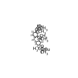 CC(C)(C)[Si](C)(C)Oc1ccc2c(c1)[Si](C)(C)c1cc(O[Si](C)(C)C(C)(C)C)ccc1C2